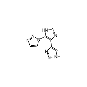 c1cn(-c2[nH]nnc2-c2c[nH]nn2)nn1